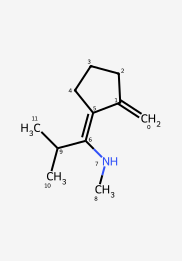 C=C1CCC/C1=C(/NC)C(C)C